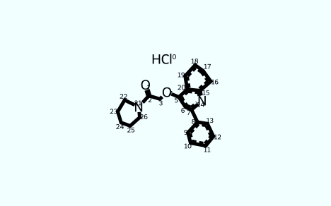 Cl.O=C(COc1cc(-c2ccccc2)nc2ccccc12)N1CCCCC1